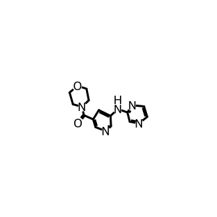 O=C(c1cncc(Nc2cnccn2)c1)N1CCOCC1